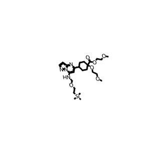 COCCOC(=O)C1(OCCOC)CCC(c2cc(NCOCC[Si](C)(C)C)n3nccc3n2)CC1